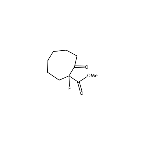 COC(=O)C1(F)CCCCCCC1=O